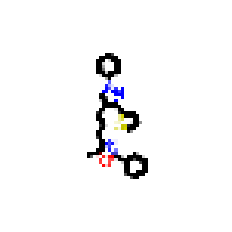 Cc1oc(-c2ccccc2)nc1CC=Cc1cn(-c2ccccc2)nc1-c1cccs1